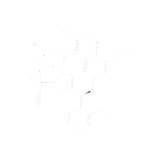 CC(C)(C)CNc1c(C#N)cnc2c(C#N)cc(N[C@H](C3=CN(C4(C#N)CC4)NN3)c3ccccc3CO)cc12